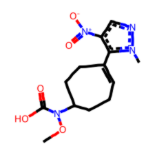 CON(C(=O)O)C1CCC=C(c2c([N+](=O)[O-])cnn2C)CC1